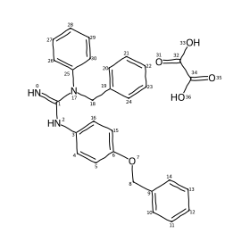 N=C(Nc1ccc(OCc2ccccc2)cc1)N(Cc1ccccc1)c1ccccc1.O=C(O)C(=O)O